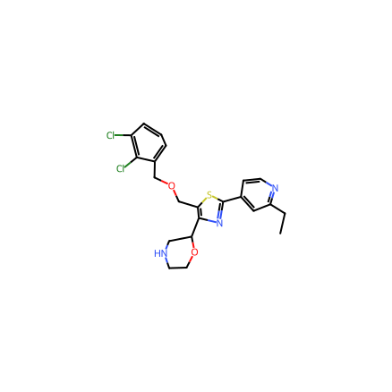 CCc1cc(-c2nc(C3CNCCO3)c(COCc3cccc(Cl)c3Cl)s2)ccn1